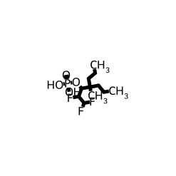 CCCC(C)(CCC)C(OP(=O)(O)O)C(F)C(F)F